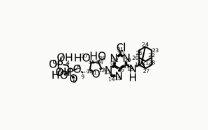 O=P(O)(O)CP(=O)(O)OC[C@H]1O[C@@H](n2cnc3c(NC4C5CC6CC(C5)CC4C6)nc(Cl)nc32)C(O)C1O